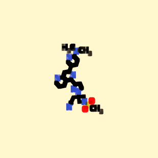 CN(C)c1ccc(-c2cc3ncccc3c(-c3ccn(C4(CC#N)CN(S(C)(=O)=O)C4)n3)n2)cn1